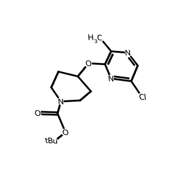 Cc1ncc(Cl)nc1OC1CCN(C(=O)OC(C)(C)C)CC1